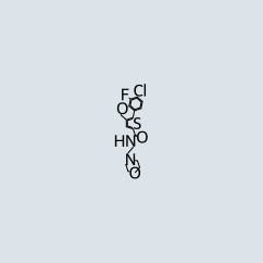 O=C(NCCN1CCOCC1)c1cc2c(s1)-c1ccc(Cl)c(F)c1OC2